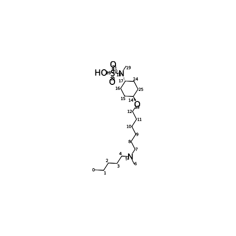 CCCCCN(C)CCCCCCO[C@H]1CC[C@H](N(C)S(=O)(=O)O)CC1